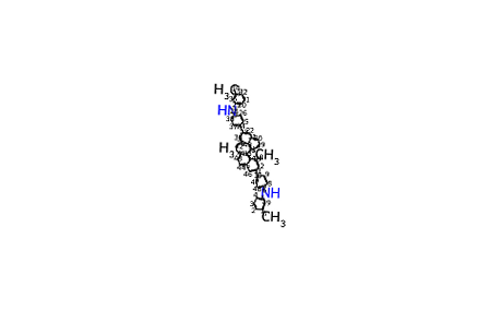 Cc1cccc(Nc2ccc(-c3ccc4c(-c5c(C)ccc6cc(-c7ccc(Nc8cccc(C)c8)cc7)ccc56)c(C)ccc4c3)cc2)c1